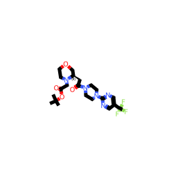 CC(C)(C)OC(=O)CN1CCOC[C@H]1CC(=O)N1CCN(c2ncc(C(F)(F)F)cn2)CC1